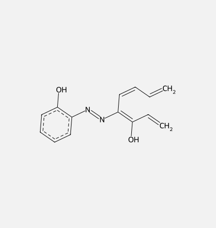 C=C/C=C\C(N=Nc1ccccc1O)=C(\O)C=C